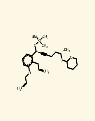 C=CCOc1cccc([C@H](C#CCC[C@H](C)OC2CCCCO2)O[Si](C)(C)C(C)(C)C)c1CC=C